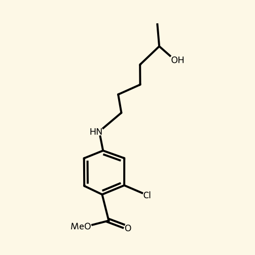 COC(=O)c1ccc(NCCCCC(C)O)cc1Cl